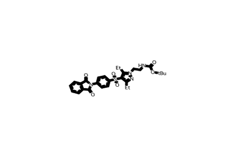 CCc1nn(CCNC(=O)OC(C)(C)C)c(CC)c1S(=O)(=O)c1ccc(N2C(=O)c3ccccc3C2=O)cc1